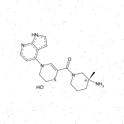 C[C@@]1(N)CCCN(C(=O)C2=CN(c3ccnc4[nH]ccc34)CCS2)C1.Cl